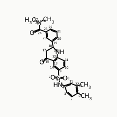 Cc1ccc(NS(=O)(=O)c2ccc3c(c2)C(=O)CC(c2cccc(C(=O)N(C)C)c2)N3)cc1C